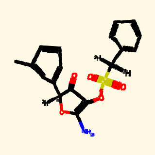 [2H]C([2H])(c1ccccc1)S(=O)(=O)OC1=C(N)O[C@]([2H])(c2cccc(C)c2)C1=O